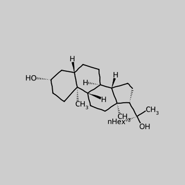 CCCCCC[C@](C)(O)[C@H]1CC[C@H]2[C@@H]3CC[C@H]4C[C@@H](O)CC[C@]4(C)[C@H]3CC[C@@]21C